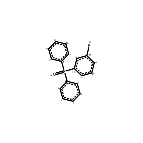 O=P(c1ccccc1)(c1ccccc1)c1cccc(F)c1